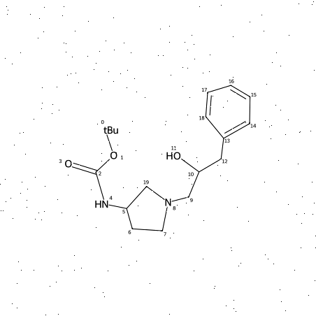 CC(C)(C)OC(=O)NC1CCN(CC(O)Cc2ccccc2)C1